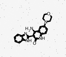 Nc1c(-c2nc3ccccc3[nH]2)c(=O)[nH]c2ccc(N3CCOCC3)cc12